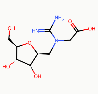 N=C(N)N(CC(=O)O)C[C@@H]1O[C@H](CO)[C@@H](O)[C@H]1O